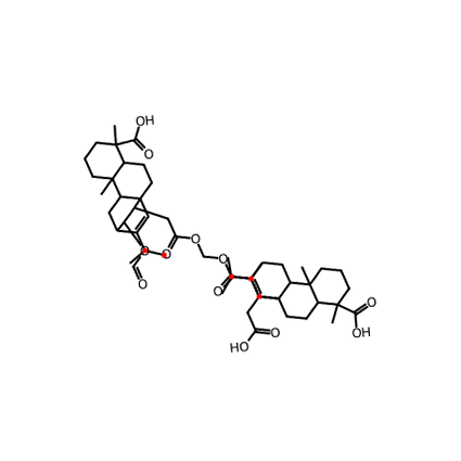 CC(C)C1=CC23CCC4C(C)(C(=O)O)CCCC4(C)C2CC1C(OC=O)C3CC(=O)OCOC(=O)C1C2CC3C4(C)CCCC(C)(C(=O)O)C4CCC3(C=C2C(C)C)C1CC(=O)O